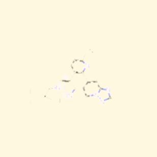 Cc1nc2cc(-c3nc(C#N)ccc3/C(C=N)=C/NCC(C)(C)C(F)(F)F)ccn2n1